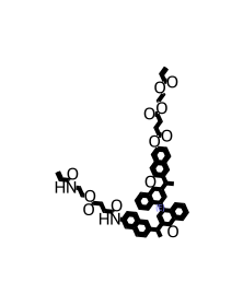 C=CC(=O)NCCOC(=O)CCC(=O)Nc1ccc2cc(C(C)C3=C/C(=C4/C=C(C(C)c5ccc6cc(OC(=O)CCC(=O)OCCOC(=O)C=C)ccc6c5)C(=O)c5ccccc54)c4ccccc4C3=O)ccc2c1